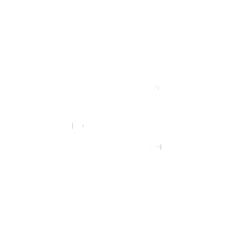 C=CC1CC(C=C)C(CCBr)C1